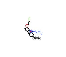 COC1CCC2(CC1)Cc1cc(C)c(OCCCF)cc1C21N=CC(N)=N1